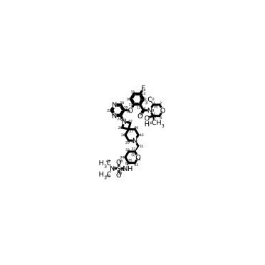 C[C@@H]1COC[C@](C)(O)N1C(=O)c1cc(F)ccc1Oc1cncnc1N1CC2(CCN(C[C@@H]3CC[C@@H](NS(=O)(=O)N(C)C)CO3)CC2)C1